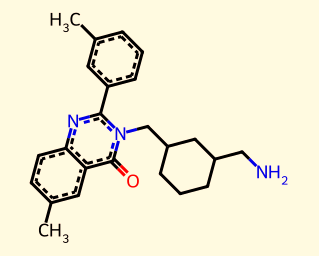 Cc1cccc(-c2nc3ccc(C)cc3c(=O)n2CC2CCCC(CN)C2)c1